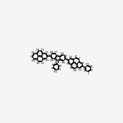 c1ccc(-c2cc3ccc4cc(-c5ccc6c7ccc(-c8cc9ccc%10cccc%11ccc(c8)c9c%10%11)cc7n(-c7ccccc7)c6c5)cc5ccc(c2)c3c45)cc1